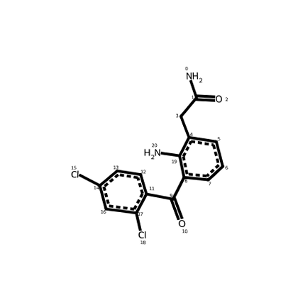 NC(=O)Cc1cccc(C(=O)c2ccc(Cl)cc2Cl)c1N